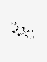 C.N=C(N)NP(=O)(O)O